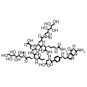 CNC(=O)[C@H](CCCNC(N)=O)NC(=O)[C@H](CCC(=O)NC[C@H](O)[C@@H](O)[C@H](O)[C@H](O)CO)NC(=O)[C@H](CCC(=O)O)NC(=O)[C@H](CCC(=O)NC[C@H](O)[C@@H](O)[C@H](O)[C@H](O)CO)NC(=O)CC[C@H](NC(=O)c1ccc(NCc2cnc3nc(N)[nH]c(=O)c3n2)cc1)C(=O)O